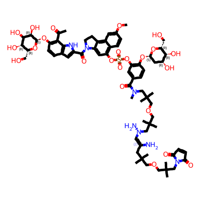 COc1ccc2c(OS(=O)(=O)Oc3cc(C(=O)N(C)CC(C)(C)COCC(C)(C)CN(N)/C=C(\N)CC(C)(C)COCC(C)(C)CN4C(=O)C=CC4=O)ccc3O[C@H]3C[C@@H](O)[C@@H](O)[C@@H](CO)O3)cc3c(c2c1)CCN3C(=O)c1cc2ccc(O[C@@H]3O[C@H](CO)[C@H](O)C(O)[C@H]3O)c(C(C)=O)c2[nH]1